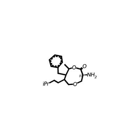 CC(C)CCC1COC[C@H](N)C(=O)OC(C)C1Cc1ccccc1